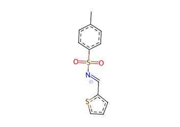 Cc1ccc(S(=O)(=O)/N=C/c2cccs2)cc1